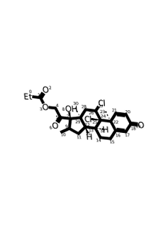 CCC(=O)OCC(=O)[C@@]1(O)C(C)C[C@H]2[C@@H]3CCC4=CC(=O)C=C[C@]4(C)[C@@]3(Cl)C(Cl)C[C@@]21C